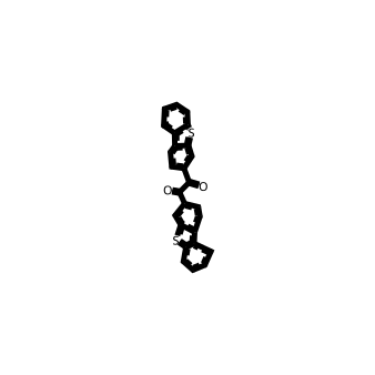 O=C(C(=O)c1ccc2c(c1)sc1ccccc12)c1ccc2c(c1)sc1ccccc12